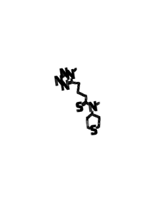 CN(C(=S)CCCc1nnnn1C)C1CCSCC1